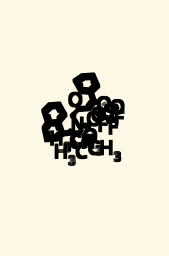 C[C@H](c1cccc2ccccc12)N(C[C@@H]1C=C(OS(=O)(=O)C(F)(F)F)c2ccccc2O1)C(=O)OC(C)(C)C